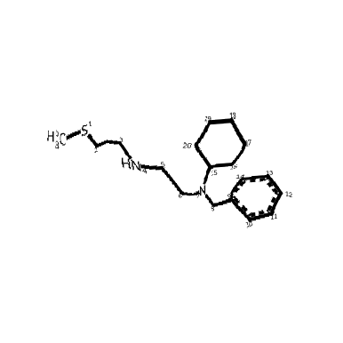 CSCCNCCN(Cc1ccccc1)C1CCCCC1